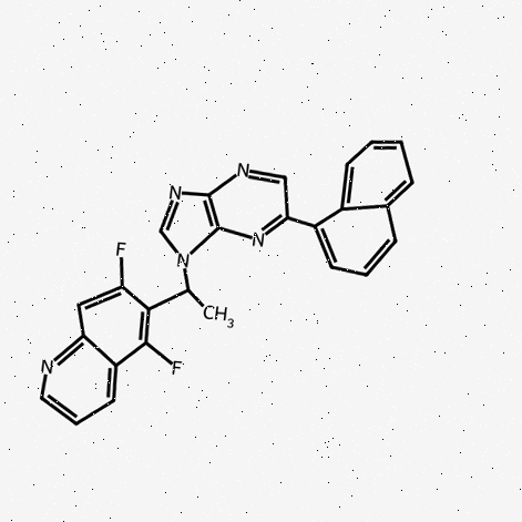 CC(c1c(F)cc2ncccc2c1F)n1cnc2ncc(-c3cccc4ccccc34)nc21